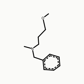 COCCCN(C)Cc1ccccc1